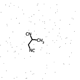 [C-]#[N+]CC(C)[N+]#[C-]